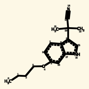 CCCCOc1ccc2c(C(C)(C)C#N)c[nH]c2c1